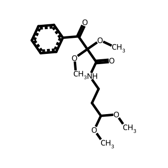 COC(CCNC(=O)C(OC)(OC)C(=O)c1ccccc1)OC